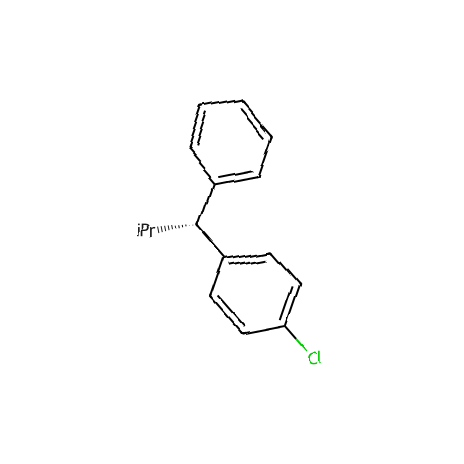 CC(C)[C@H](c1ccccc1)c1ccc(Cl)cc1